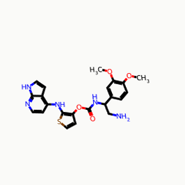 COc1ccc(C(CN)NC(=O)Oc2ccsc2Nc2ccnc3[nH]ccc23)cc1OC